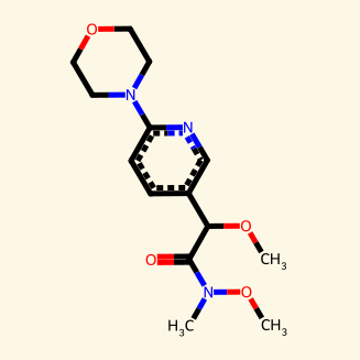 COC(C(=O)N(C)OC)c1ccc(N2CCOCC2)nc1